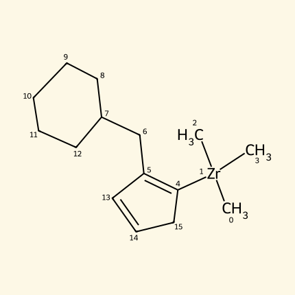 [CH3][Zr]([CH3])([CH3])[C]1=C(CC2CCCCC2)C=CC1